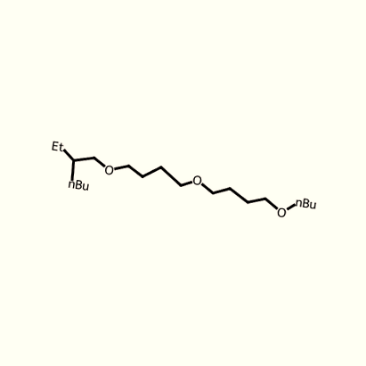 CCCCOCCCCOCCCCOCC(CC)CCCC